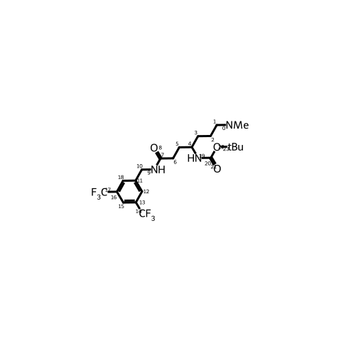 CNCCCC(CCC(=O)NCc1cc(C(F)(F)F)cc(C(F)(F)F)c1)NC(=O)OC(C)(C)C